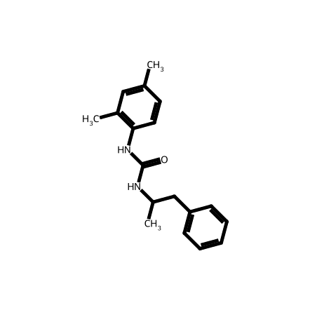 Cc1ccc(NC(=O)NC(C)Cc2ccccc2)c(C)c1